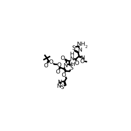 CO/N=C(\C(=O)N[C@@H]1C(=O)N2C(C(=O)OCOC(=O)C(C)(C)C)=C(OCc3csnn3)CS[C@@H]12)c1csc(N)n1